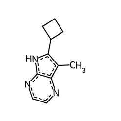 Cc1c(C2CCC2)[nH]c2nccnc12